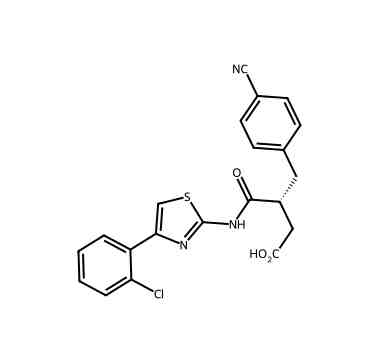 N#Cc1ccc(C[C@H](CC(=O)O)C(=O)Nc2nc(-c3ccccc3Cl)cs2)cc1